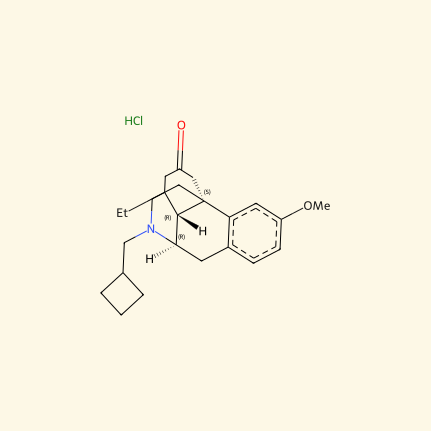 CCC1CC(=O)C[C@]23CCN(CC4CCC4)[C@H](Cc4ccc(OC)cc42)[C@H]13.Cl